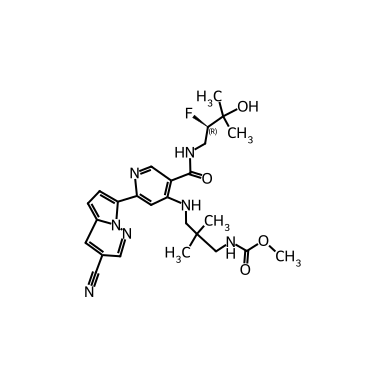 COC(=O)NCC(C)(C)CNc1cc(-c2ccc3cc(C#N)cnn23)ncc1C(=O)NC[C@@H](F)C(C)(C)O